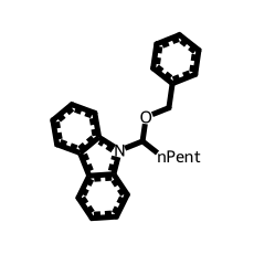 CCCCCC(OCc1ccccc1)n1c2ccccc2c2ccccc21